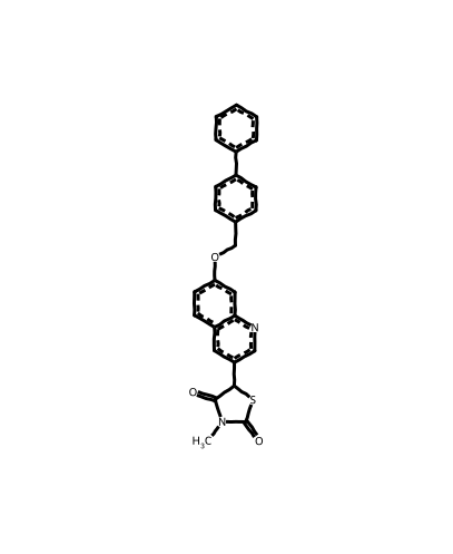 CN1C(=O)SC(c2cnc3cc(OCc4ccc(-c5ccccc5)cc4)ccc3c2)C1=O